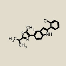 Cc1sc(C(C)C)nc1-c1ccc2[nH]c(-c3ccccc3Cl)cc2c1